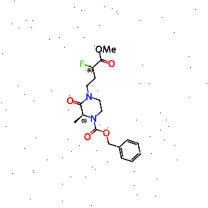 COC(=O)[C@H](F)CCN1CCN(C(=O)OCc2ccccc2)[C@@H](C)C1=O